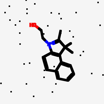 CC1=[N+](CCO)c2ccc3ccccc3c2C1(C)C